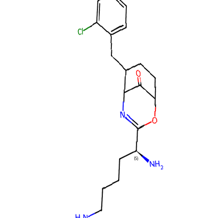 NCCCC[C@H](N)C1=NC2C(=O)C(CCC2Cc2ccccc2Cl)O1